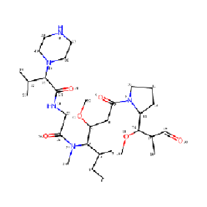 CCC(C)C(C(CC(=O)N1CCCC1C(OC)C(C)C=O)OC)N(C)C(=O)CNC(=O)C(C(C)C)N1CCNCC1